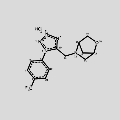 Cl.FC(F)(F)c1ccc(-n2nnnc2CN2CC3CC2CO3)cc1